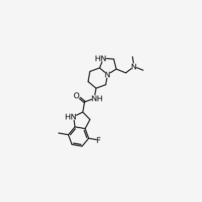 Cc1ccc(F)c2c1NC(C(=O)NC1CCC3NCC(CN(C)C)N3C1)C2